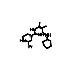 CC1=C(C)C(NC2CCCCC2)NC(N2CCNC(C(C)C)C2)N1